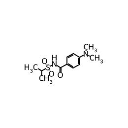 CC(C)S(=O)(=O)NC(=O)c1ccc(N(C)C)cc1